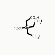 CCCCCCC[CH2][Sn]([CH2]C(=O)O)([CH2]C(=O)O)[CH2]C(=O)O